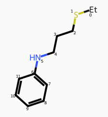 CCSCCCNc1ccccc1